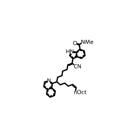 CCCCCCCC/C=C\CCCC(CCCC/C=C(\C#N)c1c[nH]c2c(C(=O)NC)cccc12)c1nccc2ccccc12